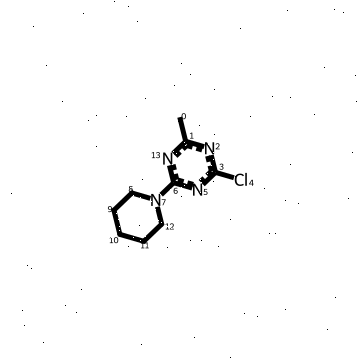 Cc1nc(Cl)nc(N2CCCCC2)n1